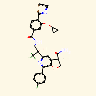 C[C@]1(C(N)=O)COc2c1cc([C@@](O)(CNC(=O)c1ccc(-c3nccs3)c(OC3CC3)c1)C(F)(F)F)nc2-c1ccc(F)cc1